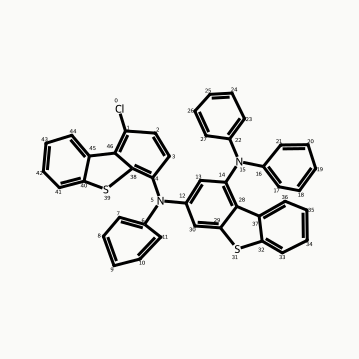 Clc1ccc(N(c2ccccc2)c2cc(N(c3ccccc3)c3ccccc3)c3c(c2)sc2ccccc23)c2sc3ccccc3c12